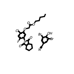 CCCCCOC(=O)COc1cc(N2C(=O)C3=C(CCCC3)C2=O)c(F)cc1Cl.N#Cc1cc(Br)c(O)c(Br)c1